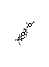 C[C@@]1(O)CC[C@@]2(F)[C@H](CCC3[C@@H]4CC[C@H](C(=O)COc5ccc(C#N)cc5F)[C@@]4(C)CC[C@@H]32)C1